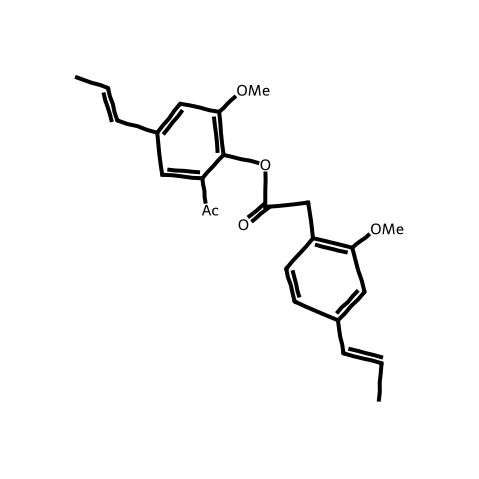 CC=Cc1cc(OC)c(OC(=O)Cc2ccc(/C=C/C)cc2OC)c(C(C)=O)c1